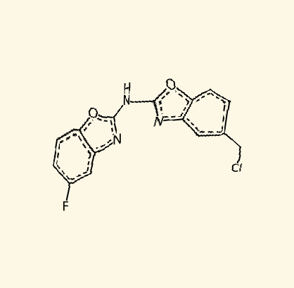 Fc1ccc2oc(Nc3nc4cc(CCl)ccc4o3)nc2c1